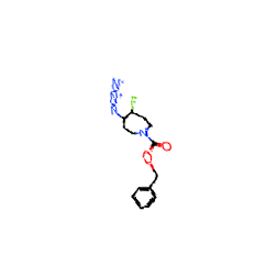 [N-]=[N+]=NC1CCN(C(=O)OCc2ccccc2)CCC1F